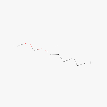 CCCCCCCCCC[SiH2]O[SiH2]O[SiH3].[Zn]